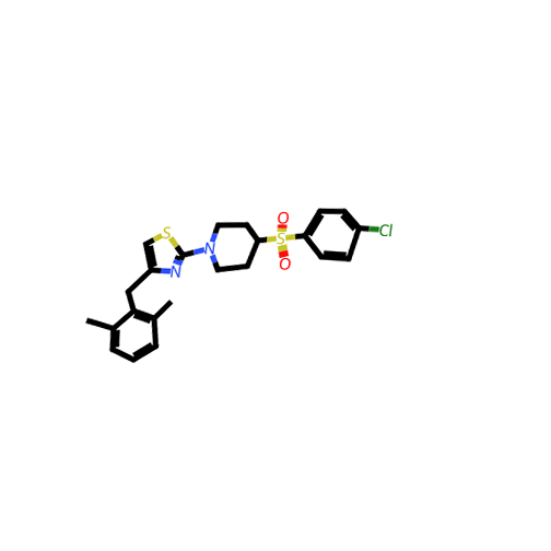 Cc1cccc(C)c1Cc1csc(N2CCC(S(=O)(=O)c3ccc(Cl)cc3)CC2)n1